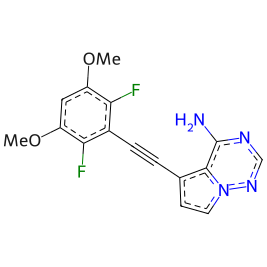 COc1cc(OC)c(F)c(C#Cc2ccn3ncnc(N)c23)c1F